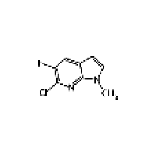 Cn1ccc2cc(F)c(Cl)nc21